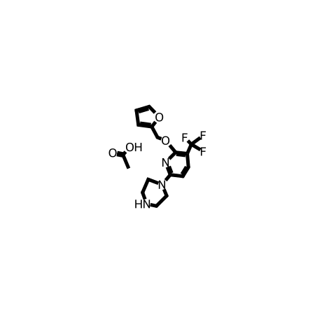 CC(=O)O.FC(F)(F)c1ccc(N2CCNCC2)nc1OCc1ccco1